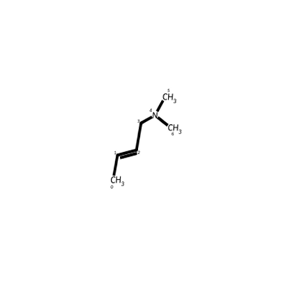 C/C=C/[CH]N(C)C